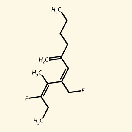 C=C(/C=C(CF)\C(C)=C(\F)CC)CCCC